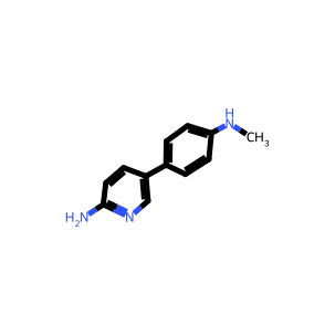 CNc1ccc(-c2ccc(N)nc2)cc1